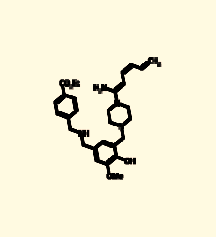 C=C/C=C\C=C(/N)N1CCN(Cc2cc(CNCc3ccc(C(=O)OCC)cc3)cc(OC)c2O)CC1